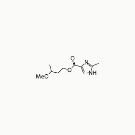 COC(C)CCOC(=O)c1c[nH]c(C)n1